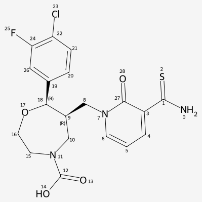 NC(=S)c1cccn(C[C@H]2CN(C(=O)O)CCO[C@H]2c2ccc(Cl)c(F)c2)c1=O